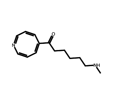 CNCCCCCC(=O)C1=CC=CN=CC=C1